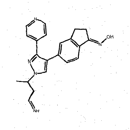 CC(CC=N)n1cc(-c2ccc3c(c2)CCC3=NO)c(-c2ccncc2)n1